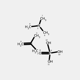 C=C(C)C.CN(C)C.O=P(O)(O)O